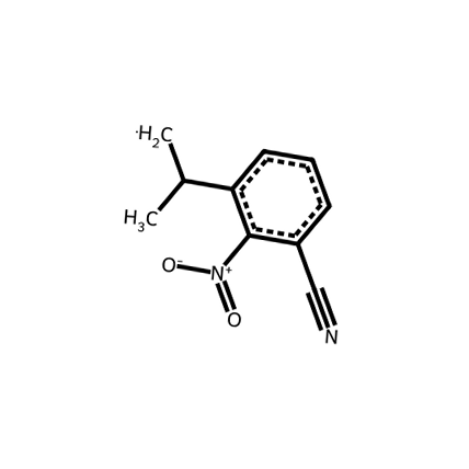 [CH2]C(C)c1cccc(C#N)c1[N+](=O)[O-]